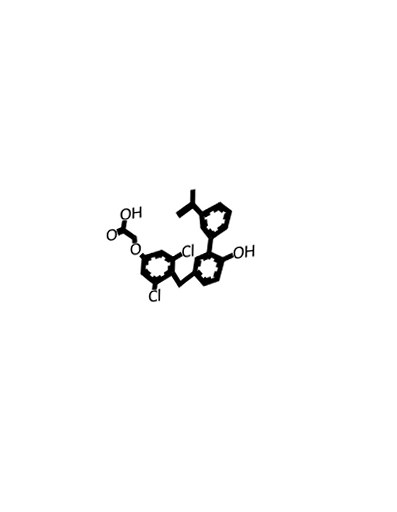 C=C(C)c1cccc(-c2cc(Cc3c(Cl)cc(OCC(=O)O)cc3Cl)ccc2O)c1